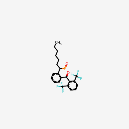 CCCCCCC(P=O)c1ccccc1C(=O)c1c(C(F)(F)F)cccc1C(F)(F)F